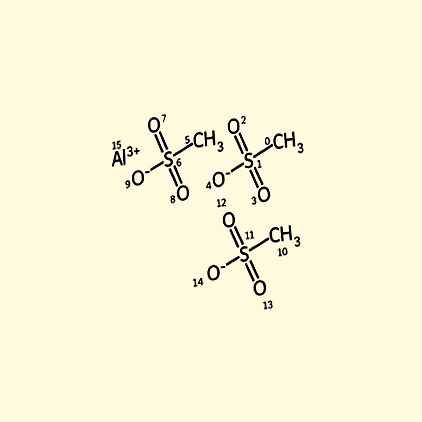 CS(=O)(=O)[O-].CS(=O)(=O)[O-].CS(=O)(=O)[O-].[Al+3]